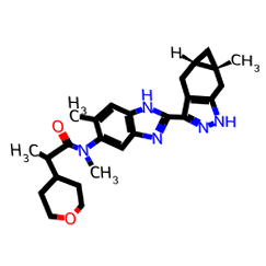 Cc1cc2[nH]c(-c3n[nH]c4c3C[C@@H]3C[C@]3(C)C4)nc2cc1N(C)C(=O)C(C)C1CCOCC1